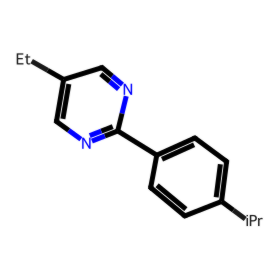 CCc1cnc(-c2ccc(C(C)C)cc2)nc1